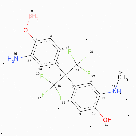 BOc1ccc(C(c2ccc(O)c(NC)c2)(C(F)(F)F)C(F)(F)F)cc1N